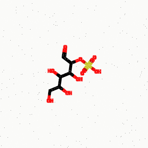 O=CC(OS(=O)(=O)O)C(O)C(O)C(O)CO